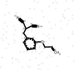 C=CCOc1cccc(CC(C#N)C#N)c1